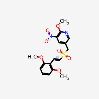 COc1cccc(OC)c1/C=C/S(=O)(=O)Cc1cnc(OC)c([N+](=O)[O-])c1